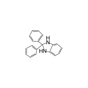 c1ccc(C2(c3ccccc3)Nc3ccccc3N2)cc1